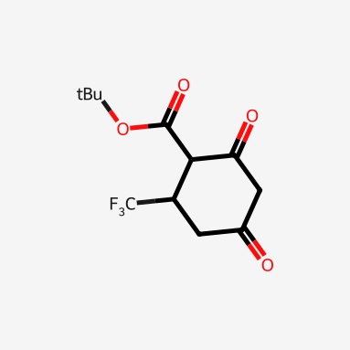 CC(C)(C)OC(=O)C1C(=O)CC(=O)CC1C(F)(F)F